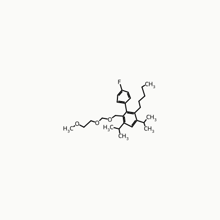 CCCCCc1c(C(C)C)cc(C(C)C)c(COCOCCOC)c1-c1ccc(F)cc1